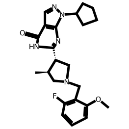 COc1cccc(F)c1CN1C[C@@H](C)[C@H](c2nc3c(cnn3C3CCCC3)c(=O)[nH]2)C1